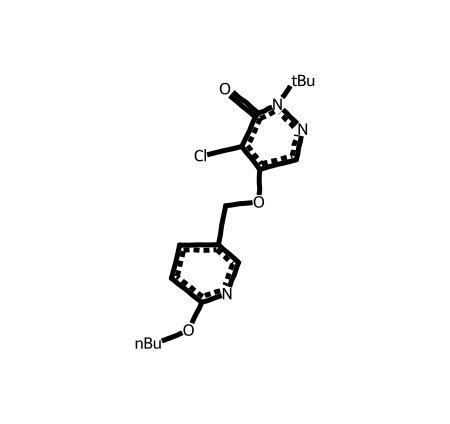 CCCCOc1ccc(COc2cnn(C(C)(C)C)c(=O)c2Cl)cn1